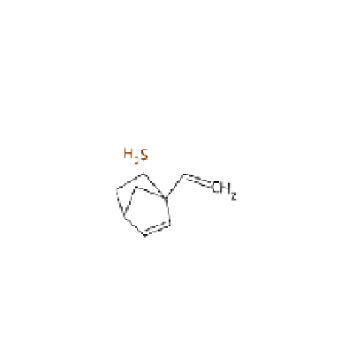 C=CC12C=CC(CC1)C2.S